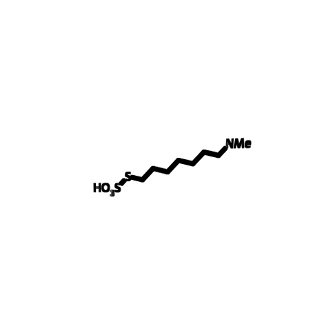 CNCCCCCCCSS(=O)(=O)O